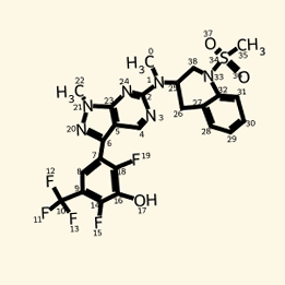 CN(c1ncc2c(-c3cc(C(F)(F)F)c(F)c(O)c3F)nn(C)c2n1)C1Cc2ccccc2N(S(C)(=O)=O)C1